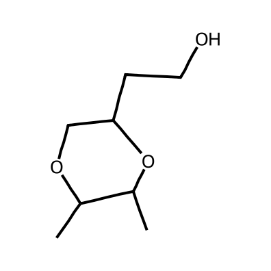 CC1OCC(CCO)OC1C